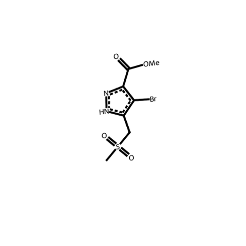 COC(=O)c1n[nH]c(CS(C)(=O)=O)c1Br